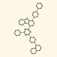 c1ccc(-c2ccc(-c3ccc(-c4nc(-c5ccccc5)nc(-c5ccc(-c6cccc7ccccc67)cc5)n4)c4c3oc3ccccc34)cc2)cc1